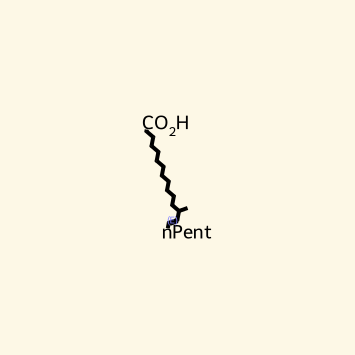 CCCCC/C=C/C(C)CCCCCCCCCCCC(=O)O